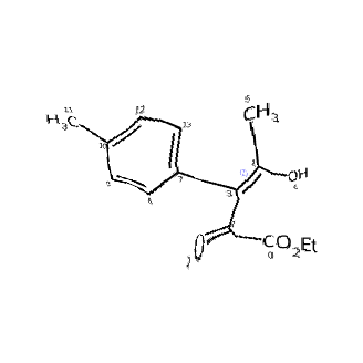 CCOC(=O)C(=O)/C(=C(/C)O)c1ccc(C)cc1